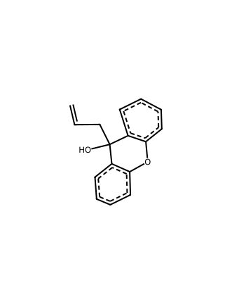 C=CCC1(O)c2ccccc2Oc2ccccc21